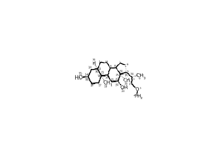 C[C@H](COP)[C@H]1CCC2C3CC[C@@H]4C[C@H](O)CC[C@]4(C)C3C[C@H](O)[C@@]21C